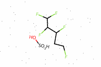 FCCC(F)C(F)C(F)F.O=S(=O)(O)O